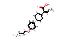 CC=C(C(=O)O)[C@H]1CC[C@H](c2ccc(OCCCC)cc2)CC1